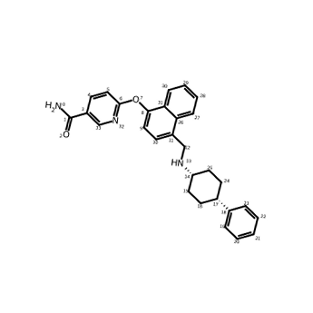 NC(=O)c1ccc(Oc2ccc(CN[C@H]3CC[C@@H](c4ccccc4)CC3)c3ccccc23)nc1